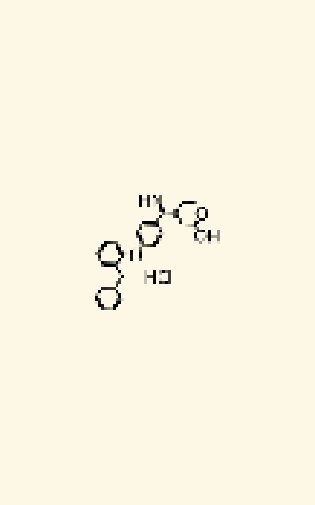 CC[C@@H](CC(=O)O)C(=N)c1ccc(Oc2ccccc2Cc2ccccc2)cc1.Cl